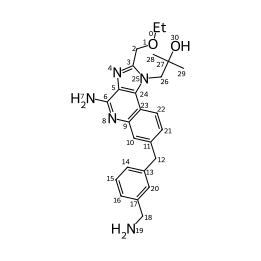 CCOCc1nc2c(N)nc3cc(Cc4cccc(CN)c4)ccc3c2n1CC(C)(C)O